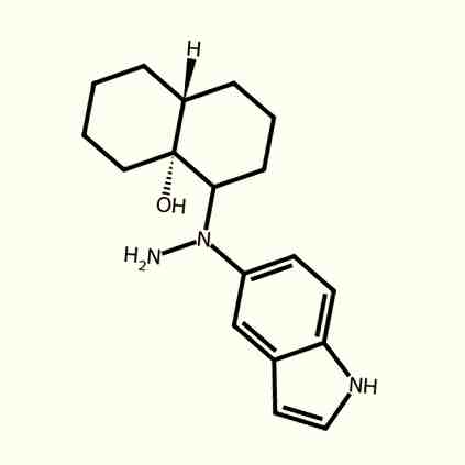 NN(c1ccc2[nH]ccc2c1)C1CCC[C@H]2CCCC[C@]12O